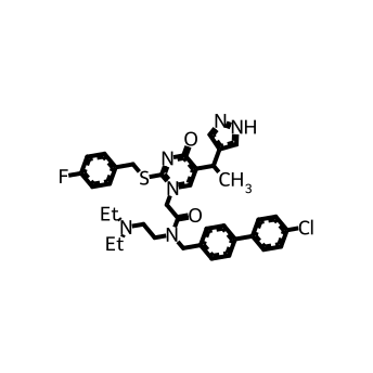 CCN(CC)CCN(Cc1ccc(-c2ccc(Cl)cc2)cc1)C(=O)Cn1cc(C(C)c2cn[nH]c2)c(=O)nc1SCc1ccc(F)cc1